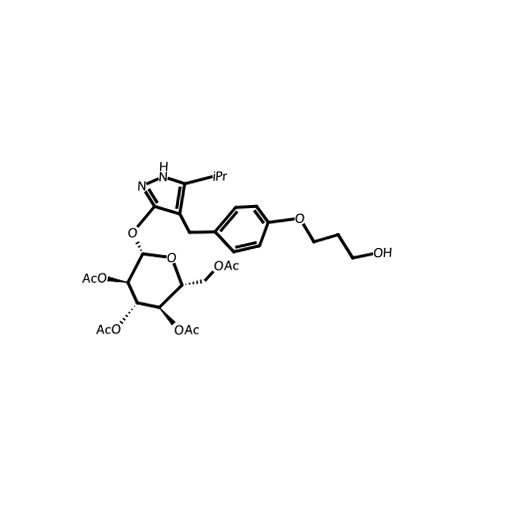 CC(=O)OC[C@H]1O[C@@H](Oc2n[nH]c(C(C)C)c2Cc2ccc(OCCCO)cc2)[C@H](OC(C)=O)[C@@H](OC(C)=O)[C@@H]1OC(C)=O